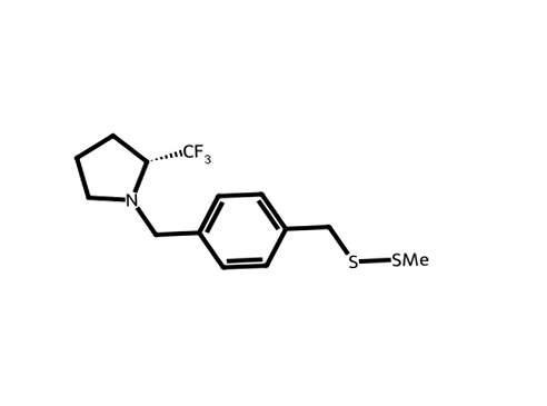 CSSCc1ccc(CN2CCC[C@@H]2C(F)(F)F)cc1